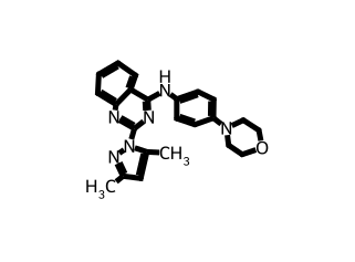 Cc1cc(C)n(-c2nc(Nc3ccc(N4CCOCC4)cc3)c3ccccc3n2)n1